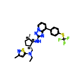 CCN(C[C@@H]1CC[C@H](C)[C@H]1Nc1nc2c(-c3ccc(SC(F)(F)F)cc3)cccn2n1)c1cc(C)ns1